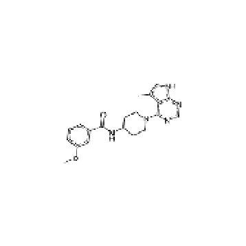 COc1cccc(C(=O)NC2CCN(c3ncnc4[nH]cc(C)c34)CC2)c1